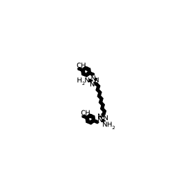 C=Cc1ccc(Cn2nc(CCCCCCCCCc3nc(N)n(Cc4ccc(C=C)cc4)n3)nc2N)cc1